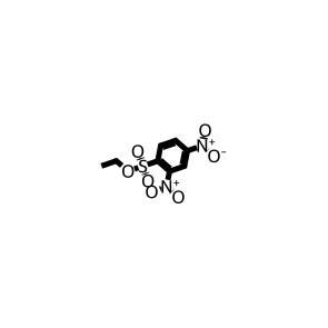 CCOS(=O)(=O)c1ccc([N+](=O)[O-])cc1[N+](=O)[O-]